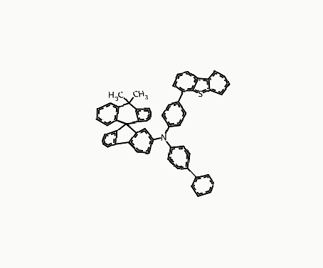 CC1(C)c2ccccc2C2(c3ccccc3-c3ccc(N(c4ccc(-c5ccccc5)cc4)c4ccc(-c5cccc6c5sc5ccccc56)cc4)cc32)c2ccccc21